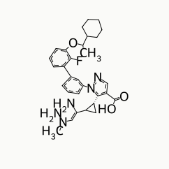 CC(Oc1cccc(-c2cccc(-n3ncc(C(=O)O)c3[C@@H]3CC3/C(N)=C/N(C)N)c2)c1F)C1CCCCC1